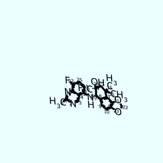 Cc1ncc2c(N[C@H]3c4ccc5c(c4C(C)(C)C[C@@]3(O)C(F)(F)F)OCO5)ccc(F)c2n1